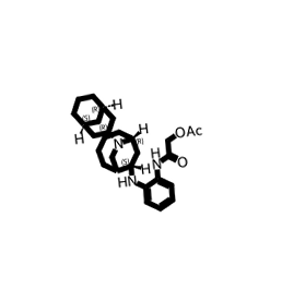 CC(=O)OCC(=O)Nc1ccccc1N[C@H]1C[C@H]2CCCCC1CN2[C@H]1C[C@@H]2CCC[C@@H](C2)C1